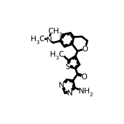 Cc1sc(C(=O)c2cncnc2N)cc1C1OCCc2ccc(CN(C)C)cc21